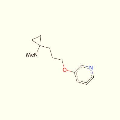 CNC1(CCCOc2cccnc2)CC1